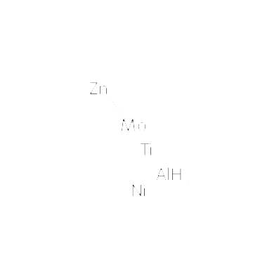 [AlH3].[Ni].[Ti].[Zn][Mo]